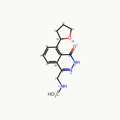 O=C(O)NCc1n[nH]c(=O)c2c(C3CCCO3)cccc12